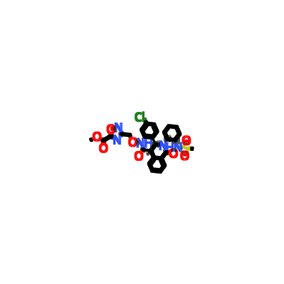 COC(=O)c1nc(CONC(=O)[C@@H]2c3ccccc3C(=O)N([C@H]3CCCC[C@@H]3NS(C)(=O)=O)[C@H]2c2ccc(Cl)cc2)no1